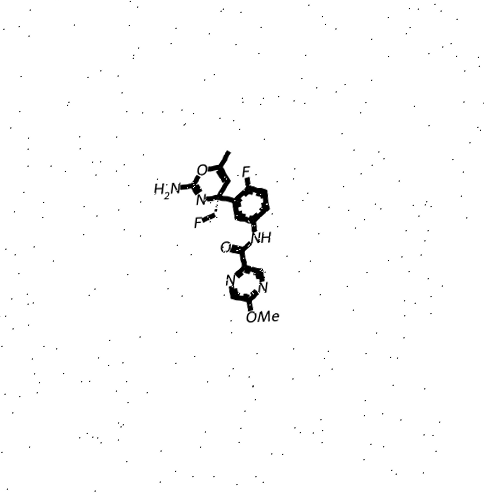 COc1cnc(C(=O)Nc2ccc(F)c([C@]3(CF)C=C(C)OC(N)=N3)c2)cn1